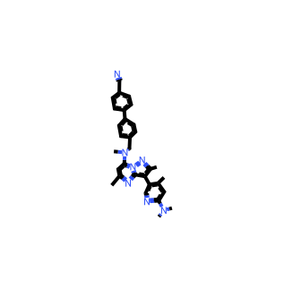 Cc1cc(N(C)Cc2ccc(-c3ccc(C#N)cc3)cc2)n2nc(C)c(-c3cnc(N(C)C)cc3C)c2n1